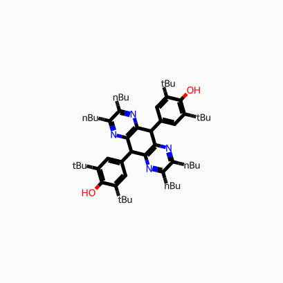 CCCCc1nc2c(nc1CCCC)C(c1cc(C(C)(C)C)c(O)c(C(C)(C)C)c1)c1nc(CCCC)c(CCCC)nc1C2c1cc(C(C)(C)C)c(O)c(C(C)(C)C)c1